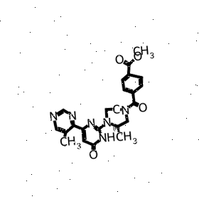 COC(=O)c1ccc(C(=O)N2CCN(c3nc(-c4ncncc4C)cc(=O)[nH]3)[C@H](C)C2)cc1